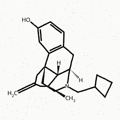 C=C1C[C@H](C)[C@H]2[C@H]3Cc4ccc(O)cc4[C@@]2(CCN3CC2CCC2)C1